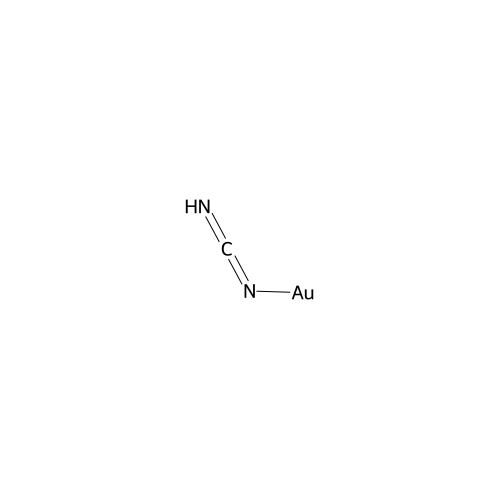 N=C=[N][Au]